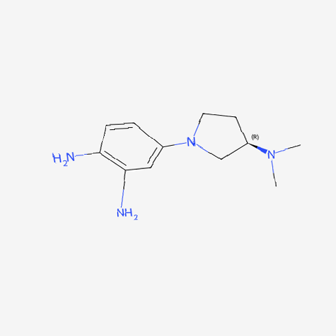 CN(C)[C@@H]1CCN(c2ccc(N)c(N)c2)C1